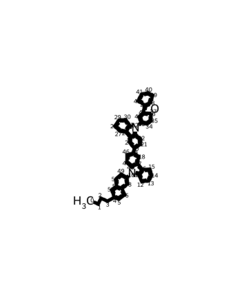 CCCCc1ccc2cc(-n3c4ccccc4c4cc(-c5ccc6c(c5)c5ccccc5n6-c5ccc6oc7ccccc7c6c5)ccc43)ccc2c1